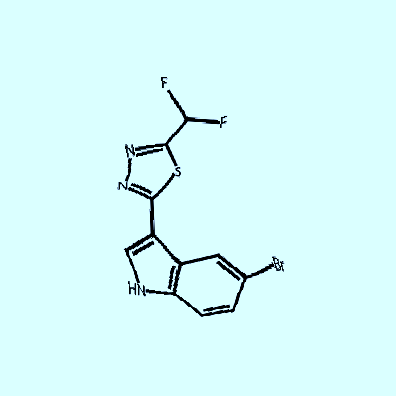 FC(F)c1nnc(-c2c[nH]c3ccc(Br)cc23)s1